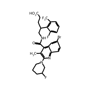 Cc1c(N2CCCC(F)C2)nc2ccc(Br)cc2c1C(=O)NCC(CCC(=O)O)c1c(F)cccc1C(F)(F)F